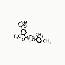 Cc1ccc(N2CCN(C(=O)c3ccc(N4CCCS4(=O)=O)cc3C(F)(F)F)CC2)c(C)c1